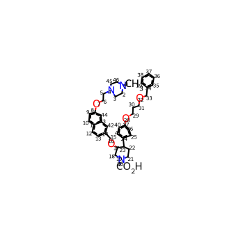 CN1CCN(CCOc2ccc3ccc(COC4CN(C(=O)O)CCC4c4ccc(OCCCOCc5ccccc5)cc4)cc3c2)CC1